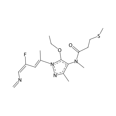 C=N/C=C(F)\C=C(/C)n1nc(C)c(N(C)C(=O)CCSC)c1OCC